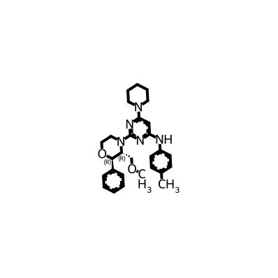 COC[C@@H]1[C@@H](c2ccccc2)OCCN1c1nc(Nc2ccc(C)cc2)cc(N2CCCCC2)n1